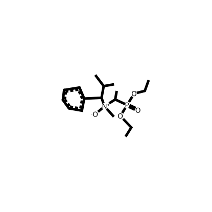 CCOP(=O)(OCC)C(C)[N+](C)([O])C(c1ccccc1)C(C)C